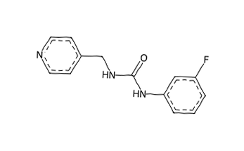 O=C(NCc1ccncc1)Nc1cccc(F)c1